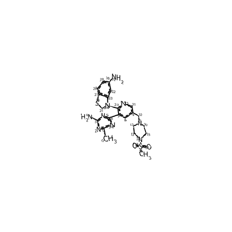 Cc1nc(N)nc(-c2cc(CN3CCN(S(C)(=O)=O)CC3)cnc2N2CSc3ccc(N)cc32)n1